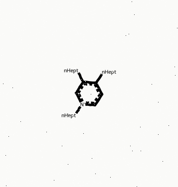 CCCCCCCc1cc[n+](CCCCCCC)cc1CCCCCCC